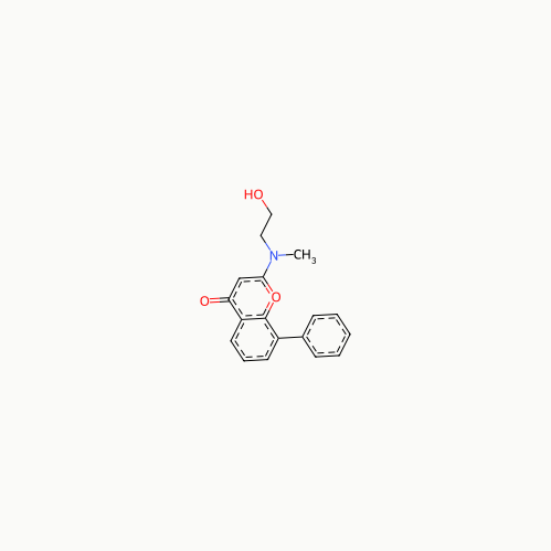 CN(CCO)c1cc(=O)c2cccc(-c3ccccc3)c2o1